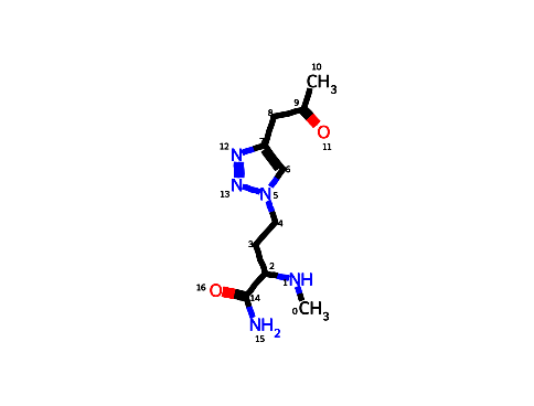 CNC(CCn1cc(CC(C)=O)nn1)C(N)=O